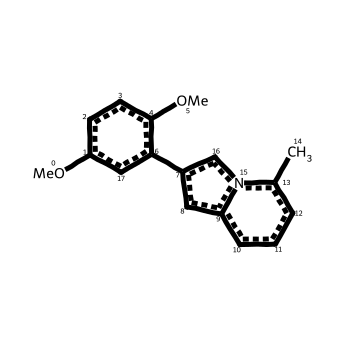 COc1ccc(OC)c(-c2cc3cccc(C)n3c2)c1